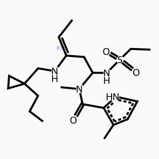 C/C=C(\CC(NS(=O)(=O)CC)N(C)C(=O)c1[nH]ccc1C)NCC1(CCC)CC1